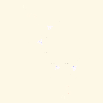 C=CC(=O)OCc1ccc2c(c1)c1cc(N(c3ccccc3)c3ccc(-c4ccc(N(c5ccccc5)c5ccc6c(c5)c5cc(COC(=O)C=C)ccc5n6-c5ccccc5)cc4)cc3)ccc1n2-c1ccccc1